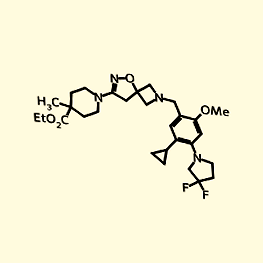 CCOC(=O)C1(C)CCN(C2=NOC3(C2)CN(Cc2cc(C4CC4)c(N4CCC(F)(F)C4)cc2OC)C3)CC1